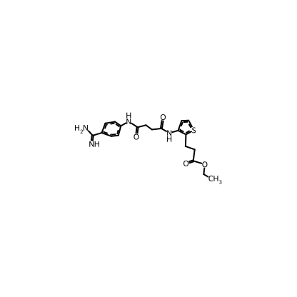 CCOC(=O)CCc1sccc1NC(=O)CCC(=O)Nc1ccc(C(=N)N)cc1